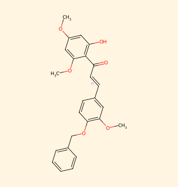 COc1cc(O)c(C(=O)/C=C/c2ccc(OCc3ccccc3)c(OC)c2)c(OC)c1